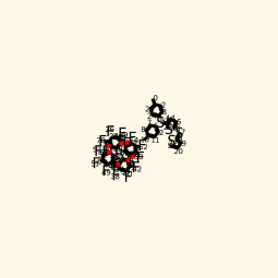 Cc1ccc([S+](c2ccc(C)cc2)c2ccc(Sc3cccs3)s2)cc1.Fc1c(F)c(F)c([B-](c2c(F)c(F)c(F)c(F)c2F)(c2c(F)c(F)c(F)c(F)c2F)c2c(F)c(F)c(F)c(F)c2F)c(F)c1F